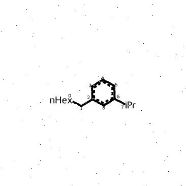 CCCCCCCc1cccc(C(C)C)c1